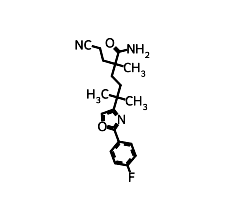 CC(CCC#N)(CCC(C)(C)c1coc(-c2ccc(F)cc2)n1)C(N)=O